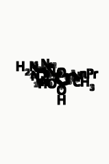 CCCN(C)C[C@H]1CC(O)C(O)C(n2cnc3c(N)ncnc32)O1